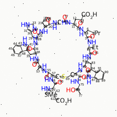 CC[C@@H]1NC(=O)[C@H](CC(C)C)NC(=O)[C@H](CCC(=O)O)NC(=O)CNC(=O)[C@H](CC(C)C)NC(=O)[C@H](Cc2c[nH]cn2)NC(=O)[C@H](Cc2c[nH]c3ccccc23)NC(=O)[C@H](C)NC(=O)[C@@H](NC(=O)[C@H](CCC(=O)O)NSC)CSCC[C@@H](C(=O)NC[C@@H](C)O)NC(=O)[C@H](Cc2c[nH]c3ccccc23)NC1=O